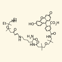 CCNCC(C)(CC)OC(C)(C)CC(=O)C=CNCCCCC(NC(=O)CC(C)(C)COCC(C)(C)CNC(=O)c1ccc(-c2c3ccc(=O)cc-3oc3cc(O)ccc23)c(C(=O)O)c1)C(N)=O